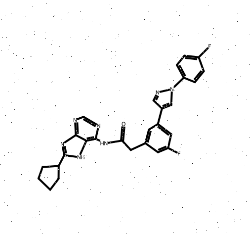 O=C(Cc1cc(F)cc(-c2cnn(-c3ccc(F)cc3)c2)c1)Nc1ncnc2nc(C3CCCC3)[nH]c12